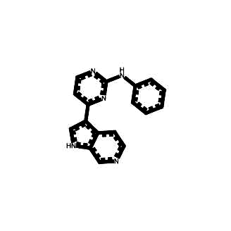 c1ccc(Nc2nccc(-c3c[nH]c4cnccc34)n2)cc1